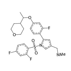 CNCc1cc(-c2ccc(OC(C)C3CCOCC3)cc2F)n(S(=O)(=O)c2ccc(F)cc2F)c1